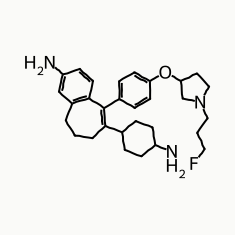 Nc1ccc2c(c1)CCCC(C1CCC(N)CC1)=C2c1ccc(OC2CCN(CCCF)C2)cc1